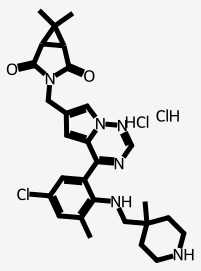 Cc1cc(Cl)cc(-c2ncnn3cc(CN4C(=O)C5C(C4=O)C5(C)C)cc23)c1NCC1(C)CCNCC1.Cl.Cl